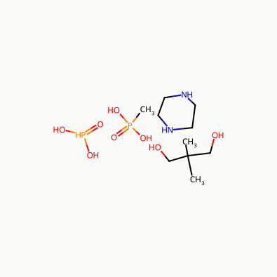 C1CNCCN1.CC(C)(CO)CO.CP(=O)(O)O.O=[PH](O)O